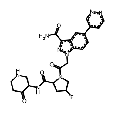 NC(=O)c1nn(CC(=O)N2CC(F)CC2C(=O)NC2CNCCC2=O)c2ccc(-c3ccnnc3)cc12